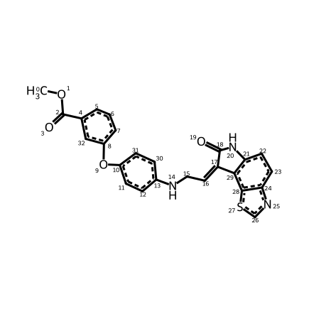 COC(=O)c1cccc(Oc2ccc(NCC=C3C(=O)Nc4ccc5ncsc5c43)cc2)c1